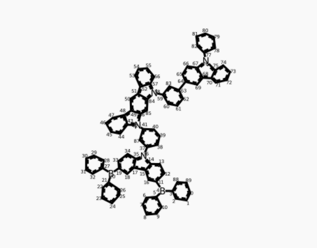 c1ccc(B(c2ccccc2)c2ccc3c(c2)c2cc(B(c4ccccc4)c4ccccc4)ccc2n3-c2cccc(-n3c4ccccc4c4cc5c6ccccc6n(-c6cccc(-c7ccc8c(c7)c7ccccc7n8-c7ccccc7)c6)c5cc43)c2)cc1